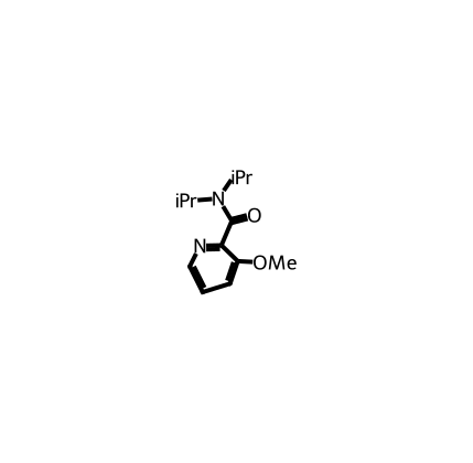 COc1cccnc1C(=O)N(C(C)C)C(C)C